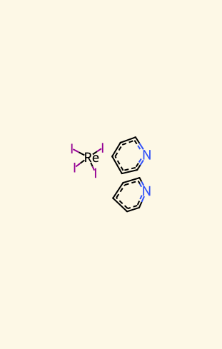 [I][Re]([I])([I])[I].c1ccncc1.c1ccncc1